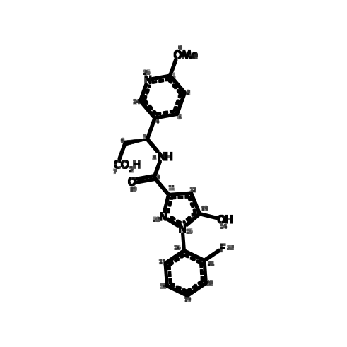 COc1ccc([C@H](CC(=O)O)NC(=O)c2cc(O)n(-c3ccccc3F)n2)cn1